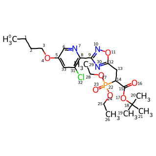 CCCCOc1cnc(-c2noc(CC(C(=O)OC(C)(C)C)P(=O)(OCC)OCC)n2)c(Cl)c1